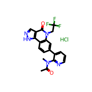 CC(=O)N(C)c1ncccc1-c1ccc2c3[nH]ncc3c(=O)n(CC(F)(F)F)c2c1.Cl